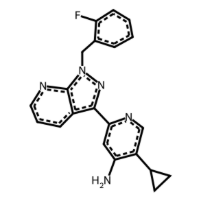 Nc1cc(-c2nn(Cc3ccccc3F)c3ncccc23)ncc1C1CC1